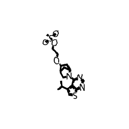 CC(C)c1csc2ncnc(N3CC4CC3CC4OCCOS(C)(=O)=O)c12